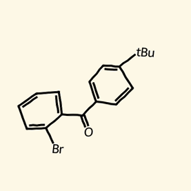 CC(C)(C)c1ccc(C(=O)c2ccccc2Br)cc1